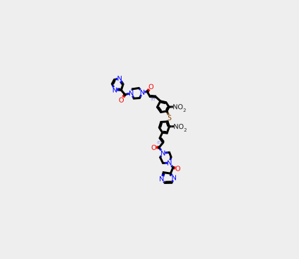 O=C(/C=C/c1ccc(Sc2ccc(/C=C/C(=O)N3CCN(C(=O)c4cnccn4)CC3)cc2[N+](=O)[O-])c([N+](=O)[O-])c1)N1CCN(C(=O)c2cnccn2)CC1